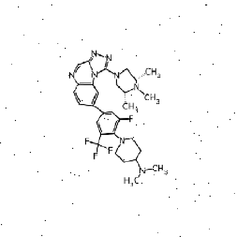 C[C@@H]1CN(c2nnc3cnc4ccc(-c5cc(F)c(N6CCC(N(C)C)CC6)c(C(F)(F)F)c5)cc4n23)C[C@H](C)N1C